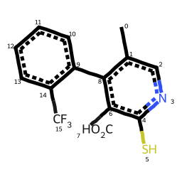 Cc1cnc(S)c(C(=O)O)c1-c1ccccc1C(F)(F)F